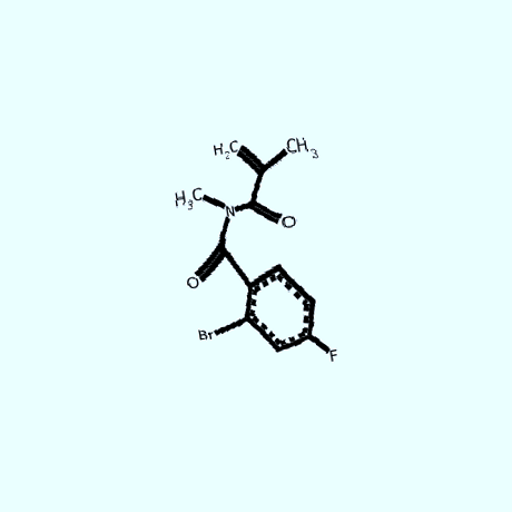 C=C(C)C(=O)N(C)C(=O)c1ccc(F)cc1Br